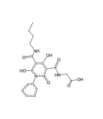 CCCCNC(=O)c1c(O)c(C(=O)NCC(=O)O)c(=O)n(-c2ccccc2)c1O